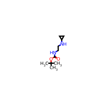 CC(C)(C)OC(=O)NCCNC1CC1